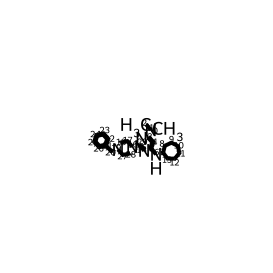 CN(C)c1cc(NC2CCCCCC2)nc(N2CCN(Cc3ccccc3)CC2)n1